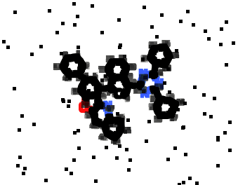 c1ccc(-c2cc(-c3ccc(-c4nc(-c5ccccc5)nc(-c5ccccc5)n4)c4ccccc34)c3c(c2)oc2cc4ccccc4nc23)cc1